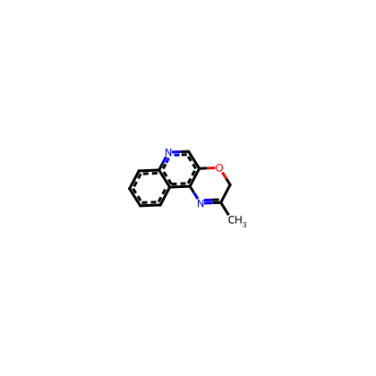 CC1=Nc2c(cnc3ccccc23)OC1